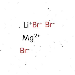 [Br-].[Br-].[Br-].[Li+].[Mg+2]